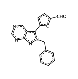 O=Cc1ccc(-c2c3cncnc3nn2Cc2ccccc2)o1